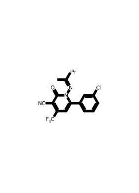 CC(=Nn1c(-c2cccc(Cl)c2)cc(C(F)(F)F)c(C#N)c1=O)C(C)C